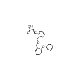 O=C(O)/C=C/c1ccccc1COCc1ccccc1Oc1ccccc1